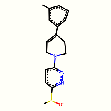 Cc1cccc(C2=CCN(c3ccc([S+](C)[O-])nn3)CC2)c1